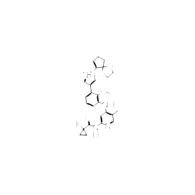 COc1c(Nc2cc(NC(=O)C3(F)CC3)ncc2C)cccc1-c1cnn(C2=CCCC23OCCO3)c1